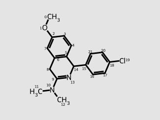 COc1ccc2c(c1)CC(N(C)C)=NC2c1ccc(Cl)cc1